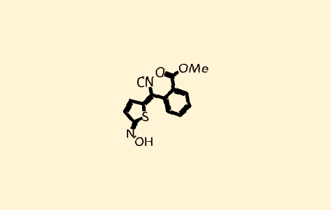 COC(=O)c1ccccc1/C(C#N)=C1C=C/C(=N/O)S/1